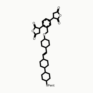 CCCCCC1CCC(C2CCC(/C=C/C3CCC(OCc4cc(C5CC(=O)OC5=O)ccc4C4CC(=O)OC4=O)CC3)CC2)CC1